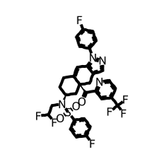 O=C(c1cc(C(F)(F)F)ccn1)[C@]12Cc3cnn(-c4ccc(F)cc4)c3C=C1CC[C@H](N(CC(F)F)S(=O)(=O)c1ccc(F)cc1)C2